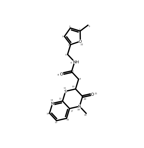 Cc1ccc(CNC(=O)CC2Sc3ncccc3N(C)C2=O)o1